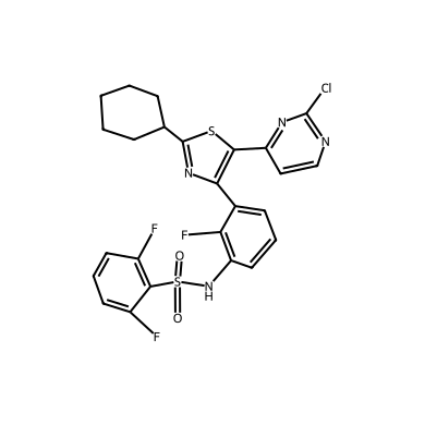 O=S(=O)(Nc1cccc(-c2nc(C3CCCCC3)sc2-c2ccnc(Cl)n2)c1F)c1c(F)cccc1F